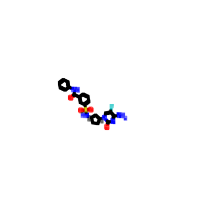 Nc1nc(=O)n([C@H]2CC[C@H](NS(=O)(=O)c3cccc(C(=O)Nc4ccccc4)c3)C2)cc1F